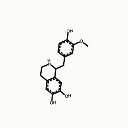 COc1cc(CC2NCCc3cc(O)c(O)cc32)ccc1O